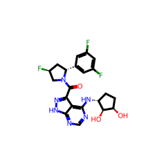 O=C(c1n[nH]c2ncnc(N[C@@H]3CC[C@@H](O)[C@H]3O)c12)N1C[C@@H](F)C[C@@H]1c1cc(F)cc(F)c1